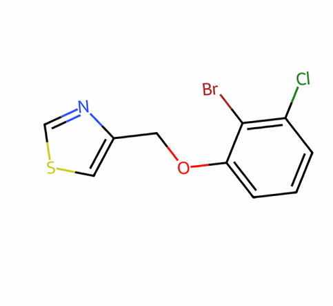 Clc1cccc(OCc2cscn2)c1Br